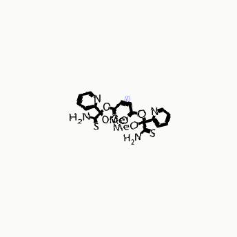 COC(OC(=O)/C=C\C(=O)OC(OC)(C(N)=S)c1ccccn1)(C(N)=S)c1ccccn1